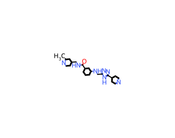 Cc1cc(CNC(=O)c2cccc(NCc3nnc(-c4ccncc4)[nH]3)c2)ccn1